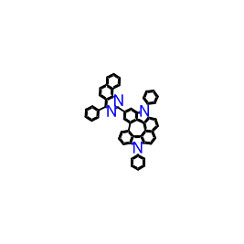 c1ccc(-c2nc(-c3cc4c5c6c7c(ccc8c7c7c-4cccc7n8-c4ccccc4)ccc6n(-c4ccccc4)c5c3)nc3c2ccc2ccccc23)cc1